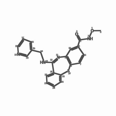 CONC(=O)c1ccc2c(c1)N=C(NCc1cccnc1)c1ccccc1S2